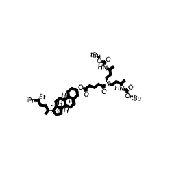 CCC(CCC(C)[C@H]1CC[C@H]2[C@@H]3CC=C4C[C@@H](OC(=O)CCCC(=O)N(CCC(C)NC(=O)OC(C)(C)C)CCC(C)NC(=O)OC(C)(C)C)CC[C@]4(C)[C@H]3CC[C@]12C)C(C)C